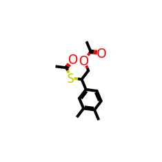 CC(=O)OCC(SC(C)=O)c1ccc(C)c(C)c1